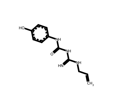 C=CCNC(=N)NC(=O)Nc1ccc(O)cc1